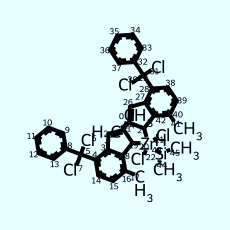 CC1=Cc2c(C(Cl)(Cl)c3ccccc3)ccc(C)c2[CH]1[Zr]([Cl])([Cl])([CH]1C(C)=Cc2c(C(Cl)(Cl)c3ccccc3)ccc(C)c21)[SiH](C)C